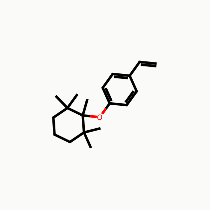 C=Cc1ccc(OC2(C)C(C)(C)CCCC2(C)C)cc1